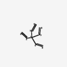 C=CC(C=C)(C=C)C=C